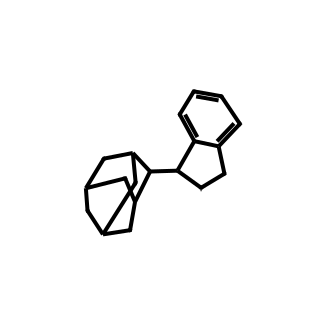 [CH]1Cc2ccccc2C1C1C2CC3CC(C2)CC1C3